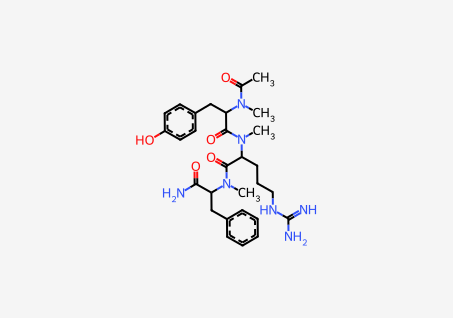 CC(=O)N(C)C(Cc1ccc(O)cc1)C(=O)N(C)C(CCCNC(=N)N)C(=O)N(C)C(Cc1ccccc1)C(N)=O